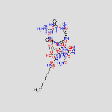 CCCCCCCCCCCCCCCC(=O)NS(=O)(=O)CCCC(=O)N[C@@H](CCC(=O)O)C(=O)N[C@@H](CO)C(=O)N[C@H](CCC(N)=O)C(=O)N[C@@H](Cc1c[nH]cn1)C(=O)N[C@@H](CO)C(=O)N[C@@H](CCCC)C(=O)N[C@H]1CCC(=O)NCCCC[C@@H](C(N)=O)NC(=O)[C@H](Cc2c[nH]c3ccccc23)NC(=O)[C@H](CCCNC(=N)N)NC(=O)[C@@H](Cc2ccccc2)NC(=O)[C@@H]2C[C@@H](O)CN2C1=O